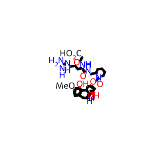 COc1ccc2c(c1O)[C@]13CCN(C)[C@H](C2)C1(O)CC=C(OC(=O)N1CCCCC1CNC(=O)C(CCCNC(=N)N)NC(=O)CC(=O)O)C3